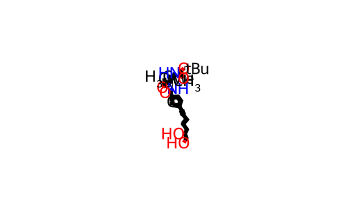 COC(=O)[C@@H](NC(=O)c1ccc(C#CC=CCC(O)CO)cc1)C(C)(C)NC(=O)OC(C)(C)C